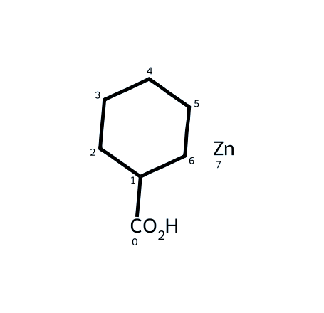 O=C(O)C1CCCCC1.[Zn]